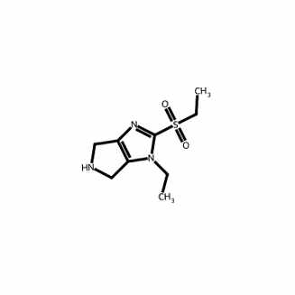 CCn1c(S(=O)(=O)CC)nc2c1CNC2